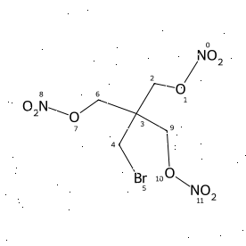 O=[N+]([O-])OCC(CBr)(CO[N+](=O)[O-])CO[N+](=O)[O-]